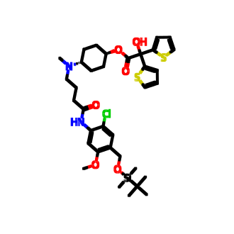 COc1cc(NC(=O)CCCN(C)[C@H]2CC[C@H](OC(=O)C(O)(c3cccs3)c3cccs3)CC2)c(Cl)cc1CO[Si](C)(C)C(C)(C)C